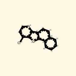 Clc1ccnc2c1oc1c3ccccc3ccc21